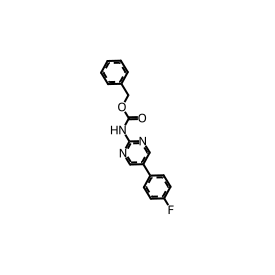 O=C(Nc1ncc(-c2ccc(F)cc2)cn1)OCc1ccccc1